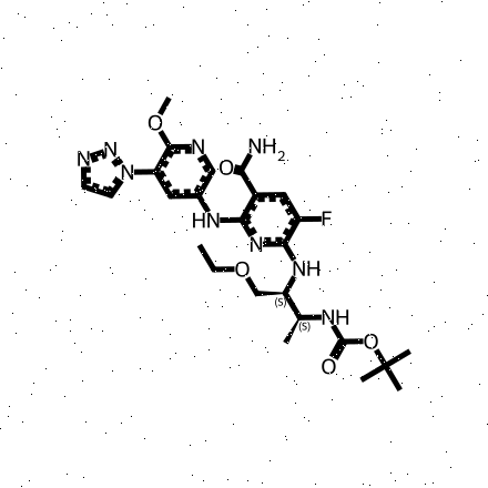 CCOC[C@@H](Nc1nc(Nc2cnc(OC)c(-n3ccnn3)c2)c(C(N)=O)cc1F)[C@H](C)NC(=O)OC(C)(C)C